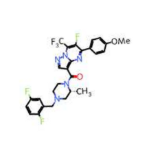 COc1ccc(-c2nc3c(C(=O)N4CCN(Cc5cc(F)ccc5F)C[C@H]4C)cnn3c(C(F)(F)F)c2F)cc1